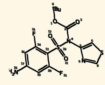 CC(C)(C)OC(=O)N(c1cscn1)S(=O)(=O)c1c(F)cc(N)cc1F